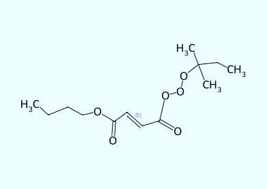 CCCCOC(=O)/C=C/C(=O)OOOC(C)(C)CC